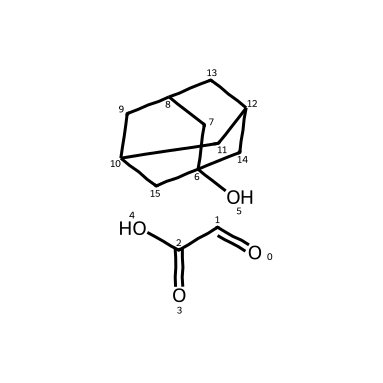 O=CC(=O)O.OC12CC3CC(CC(C3)C1)C2